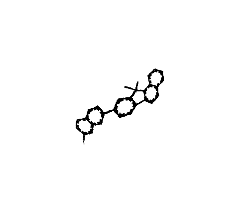 CC1(C)c2cc(-c3ccc4ccc(I)cc4c3)ccc2-c2ccc3ccccc3c21